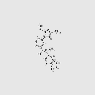 Cc1cc(CO)n(-c2cccc(C(=O)N(C)c3ccc4c(c3)OCO4)c2)n1